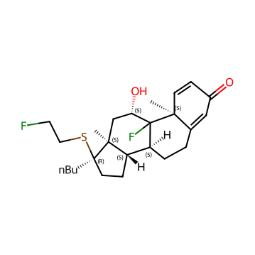 CCCC[C@@]1(SCCF)CC[C@H]2[C@@H]3CCC4=CC(=O)C=C[C@]4(C)C3(F)[C@@H](O)C[C@@]21C